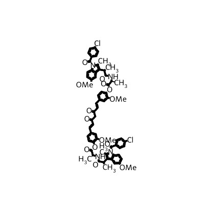 COc1ccc2c(c1)c(C(C)C(=O)N[C@@H](C)C(=O)Oc1ccc(/C=C/C(=O)CC(=O)/C=C/c3ccc(OC(=O)[C@H](C)NC(=O)C(C)c4c(C)n(C(=O)c5ccc(Cl)cc5)c5ccc(OC)cc45)c(OC)c3)cc1OC)c(C)n2C(=O)c1ccc(Cl)cc1